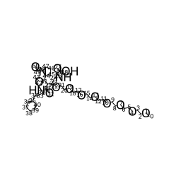 COCCOCCOCCOCCOCCOCCOCCOC(CNC(=O)O)[C@@H](C(=O)NCCC1=CCCC=C1)C(OC)C1CCCN1C=O